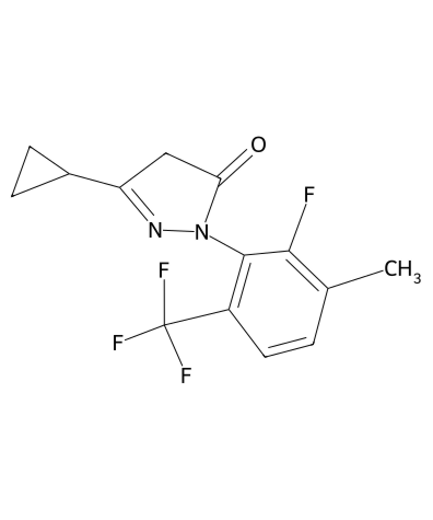 Cc1ccc(C(F)(F)F)c(N2N=C(C3CC3)CC2=O)c1F